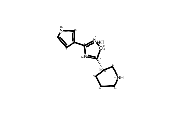 Cl.c1cc(-c2noc([C@H]3CCCNC3)n2)cs1